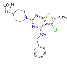 Cc1sc2nc(N3CCC(OC(=O)O)CC3)nc(NCc3ccccc3)c2c1Cl